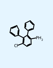 Pc1ccc(Cl)c(-c2ccccc2)c1-c1ccccc1